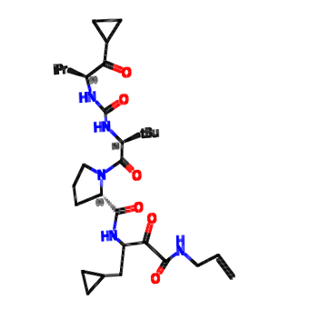 C=CCNC(=O)C(=O)C(CC1CC1)NC(=O)[C@@H]1CCCN1C(=O)[C@@H](NC(=O)N[C@H](C(=O)C1CC1)C(C)C)C(C)(C)C